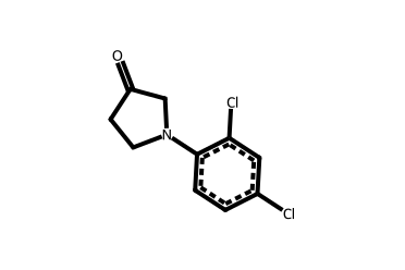 O=C1CCN(c2ccc(Cl)cc2Cl)C1